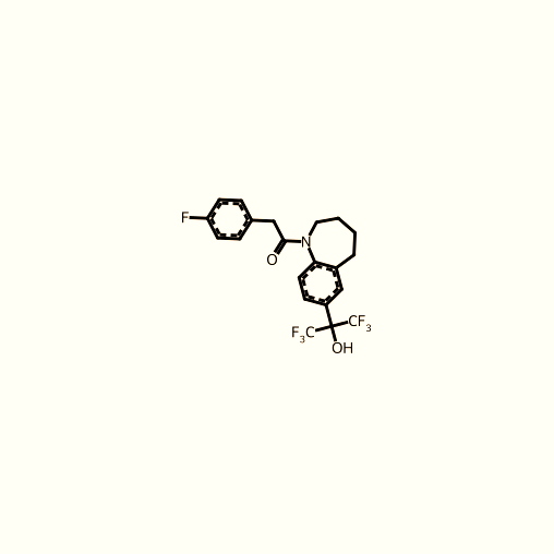 O=C(Cc1ccc(F)cc1)N1CCCCc2cc(C(O)(C(F)(F)F)C(F)(F)F)ccc21